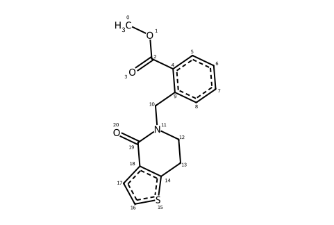 COC(=O)c1ccccc1CN1CCc2sccc2C1=O